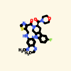 C=Nc1cc(NCc2scnc2C(=O)N2Cc3[nH]c4ccc(F)cc4c3C[C@@H]2C(=O)N2CCOCC2)ccc1/N=C\C